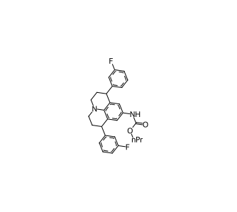 CCCOC(=O)Nc1cc2c3c(c1)C(c1cccc(F)c1)CCN3CCC2c1cccc(F)c1